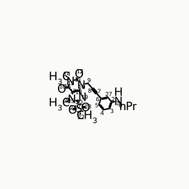 CCCNc1cccc(C#CCn2c(=O)n(C)c(=O)c3c2nc(S(C)(=O)=O)n3C)c1